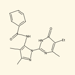 CCc1c(C)nc(-n2nc(C)c(C)c2NC(=O)c2ccccc2)[nH]c1=O